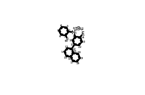 CC(C)(C)N(c1ccccc1F)c1cc(-c2cccc3ccccc23)ccc1F